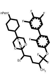 CCCCCC1CCC(C23COC(C(CC)CCC(C)C(F)(F)Oc4ccc(-c5cc(F)c(F)c(F)c5)c(F)c4)(OC2)OC3)CC1